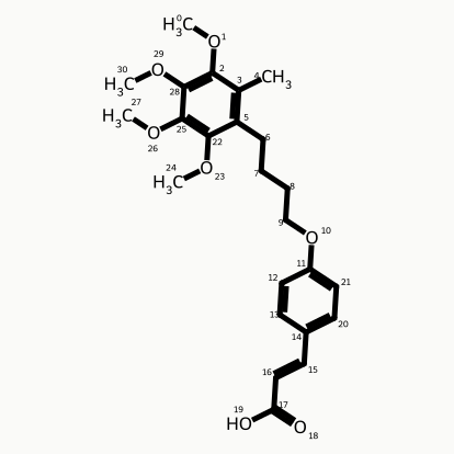 COc1c(C)c(CCCCOc2ccc(C=CC(=O)O)cc2)c(OC)c(OC)c1OC